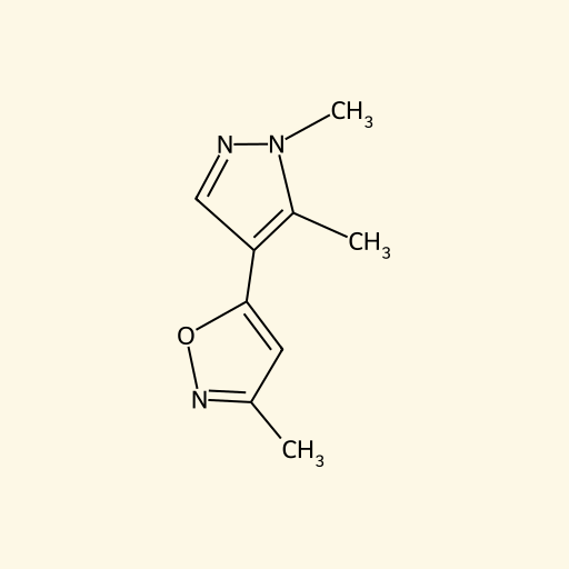 Cc1cc(-c2cnn(C)c2C)on1